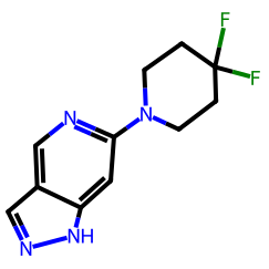 FC1(F)CCN(c2cc3[nH]ncc3cn2)CC1